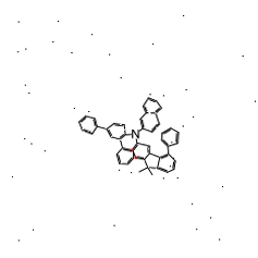 CC1(C)c2ccc(N(c3ccc4ccccc4c3)c3ccc(-c4ccccc4)cc3-c3ccccc3)cc2-c2c(-c3ccccc3)cccc21